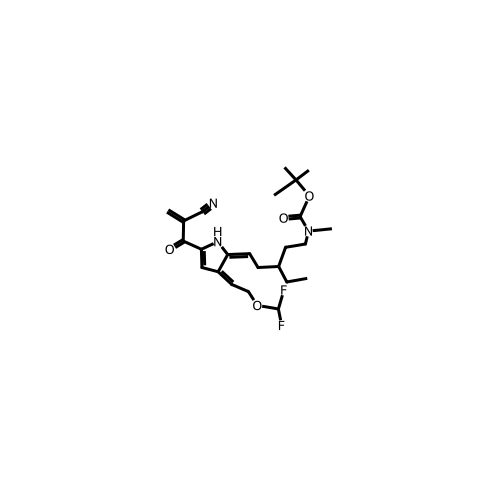 C=C(C#N)C(=O)c1cc(=C/COC(F)F)/c(=C\CC(CC)CCN(C)C(=O)OC(C)(C)C)[nH]1